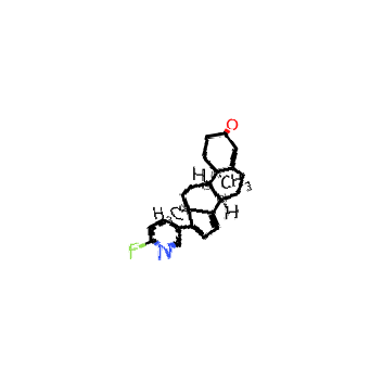 C[C@]12CC[C@H]3[C@@H](CCC4=CC(=O)CC[C@@]43C)C1=CC=C2c1ccc(F)nc1